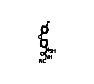 N#CNC(=O)N(S)c1ccc(Oc2ccc(F)cc2)cc1